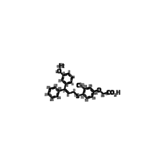 CCOc1cccc(/C(=C\CSc2ccc(OCC(=O)O)cc2Cl)c2ccccc2)c1